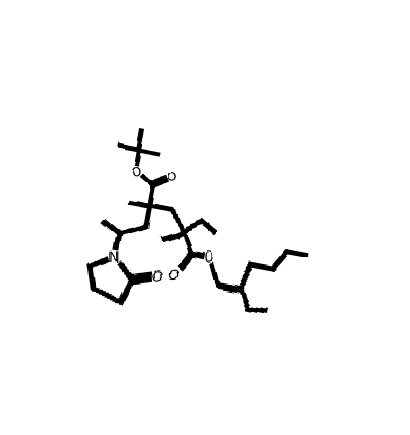 CCCCC(CC)COC(=O)C(C)(CC)CC(C)(CC(C)N1CCCC1=O)C(=O)OC(C)(C)C